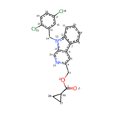 O=C(OCc1cc2c3ccccc3n(Cc3cc(Cl)ccc3Cl)c2cn1)C1CC1